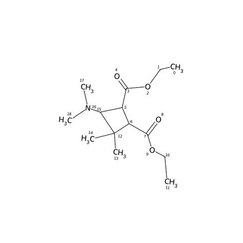 CCOC(=O)C1C(C(=O)OCC)C(C)(C)C1N(C)C